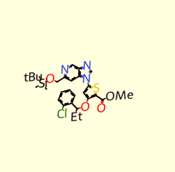 CCC(Oc1cc(-n2cnc3cnc(CO[Si](C)(C)C(C)(C)C)cc32)sc1C(=O)OC)c1ccccc1Cl